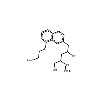 COCCOc1cccc2ccc(CC(CC(CO)NC(=O)O)C(C)C)cc12